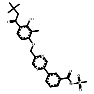 Cc1c(OCc2cnc(-c3cccc(C(=O)NS(C)(=O)=O)c3)cn2)ccc(C(=O)CC(C)(C)C)c1O